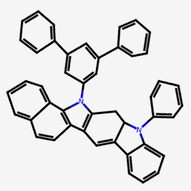 C1=C2c3ccccc3N(c3ccccc3)C2Cc2c1c1ccc3ccccc3c1n2-c1cc(-c2ccccc2)cc(-c2ccccc2)c1